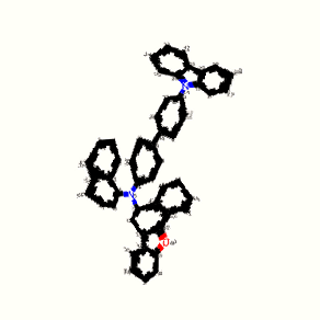 c1ccc2c(N(c3ccc(-c4ccc(-n5c6ccccc6c6ccccc65)cc4)cc3)c3cc4c5ccccc5oc4c4ccccc34)cccc2c1